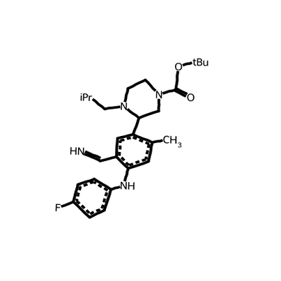 Cc1cc(Nc2ccc(F)cc2)c(C=N)cc1C1CN(C(=O)OC(C)(C)C)CCN1CC(C)C